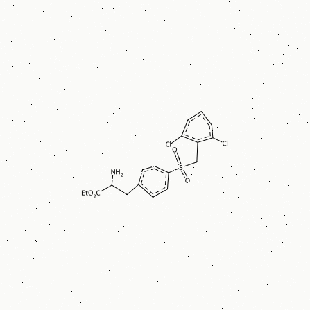 CCOC(=O)C(N)Cc1ccc(S(=O)(=O)Cc2c(Cl)cccc2Cl)cc1